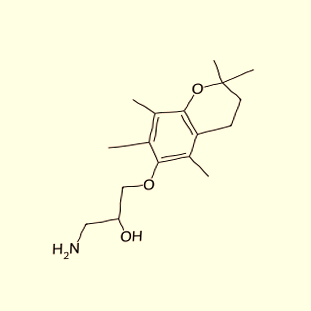 Cc1c(C)c2c(c(C)c1OCC(O)CN)CCC(C)(C)O2